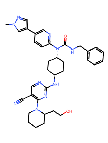 Cn1cc(-c2ccc(N(C(=O)NCc3ccccc3)[C@H]3CC[C@H](Nc4ncc(C#N)c(N5CCCCC5CCO)n4)CC3)nc2)cn1